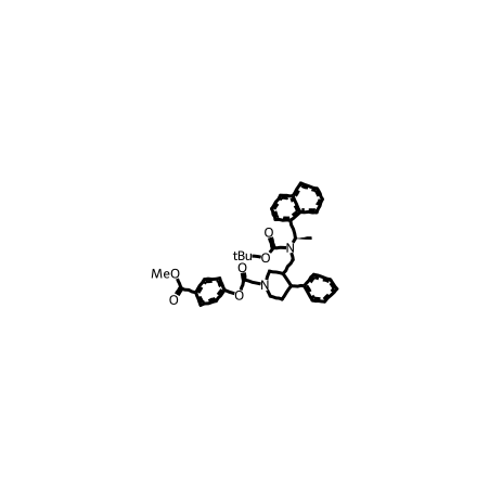 COC(=O)c1ccc(OC(=O)N2CCC(c3ccccc3)C(CN(C(=O)OC(C)(C)C)[C@H](C)c3cccc4ccccc34)C2)cc1